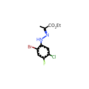 CCOC(=O)/C(C)=N/Nc1cc(Cl)c(F)cc1Br